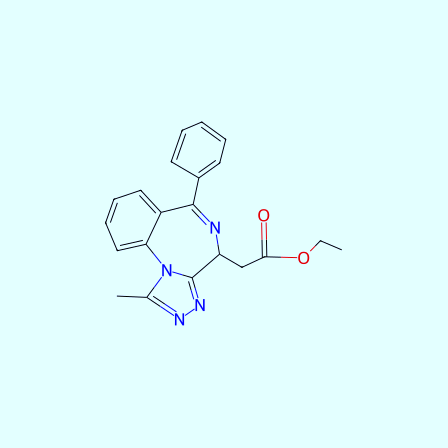 CCOC(=O)CC1N=C(c2ccccc2)c2ccccc2-n2c(C)nnc21